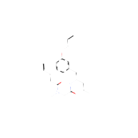 C=CCCC(=O)N(C)[C@@H](C)C(=O)N[C@@H](Cc1cccc(OCC=C)c1)[C@H](O)CCl